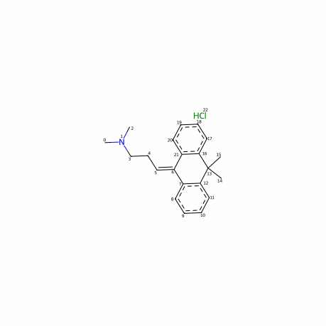 CN(C)CCC=C1c2ccccc2C(C)(C)c2ccccc21.Cl